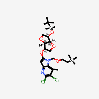 Cc1c(Cl)c(Cl)nc2cc(O[C@@H]3CO[C@H]4[C@@H]3OC[C@H]4O[Si](C)(C)C(C)(C)C)n(COCC[Si](C)(C)C)c12